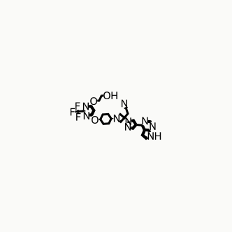 N#CCC1(n2cc(-c3ncnc4[nH]ccc34)cn2)CN([C@H]2CC[C@@H](Oc3cc(OCCO)nc(C(F)(F)F)n3)CC2)C1